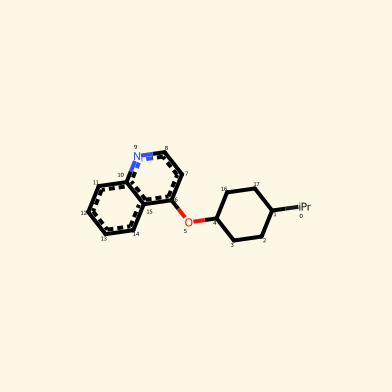 CC(C)C1CCC(Oc2ccnc3ccccc23)CC1